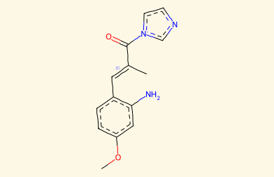 COc1ccc(/C=C(\C)C(=O)n2ccnc2)c(N)c1